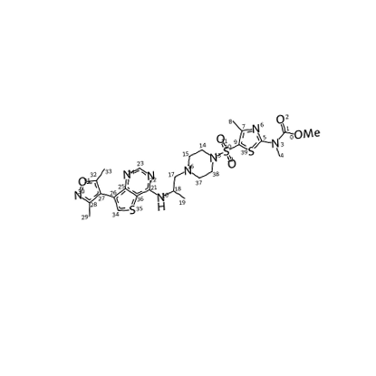 COC(=O)N(C)c1nc(C)c(S(=O)(=O)N2CCN(CC(C)Nc3ncnc4c(-c5c(C)noc5C)csc34)CC2)s1